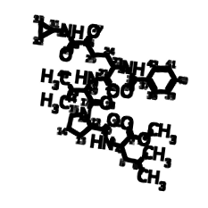 COC(=O)C(CC(C)C)NC(=O)C1CCCN1C(=O)C(NC(=O)C(CCC(=O)C(=O)NC1CC1)NC(=O)c1ccccc1)C(C)C